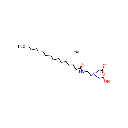 CCCCCCCCCCCCCCCC(=O)NCCN(CCO)CC(=O)[O-].[Na+]